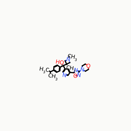 CC(C)c1ccc([C@](O)(c2cncc(-c3nc(N4CCOCC4)no3)c2)C2(C)CN(C)C2)cc1